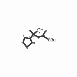 CCCCC(C)CC(C)(O)C1CCCC1